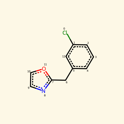 Clc1cccc(Cc2ncco2)c1